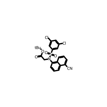 CC(C)(C)OC(=O)CN(c1cccc2c(C#N)cccc12)S(=O)(=O)c1cc(Cl)cc(Cl)c1